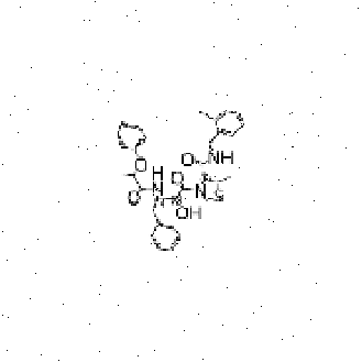 Cc1ccccc1CNC(=O)[C@@H]1C(C)SCN1C(=O)[C@@H](O)[C@H](Cc1ccccc1)NC(=O)C(C)Oc1ccccc1